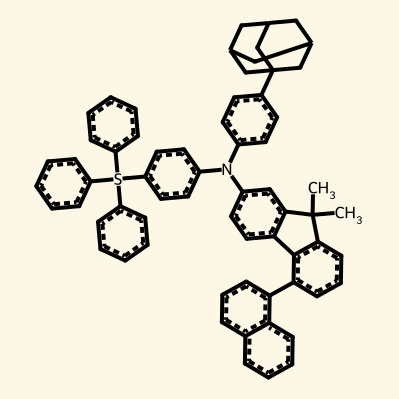 CC1(C)c2cc(N(c3ccc(C45CC6CC(CC(C6)C4)C5)cc3)c3ccc(S(c4ccccc4)(c4ccccc4)c4ccccc4)cc3)ccc2-c2c(-c3cccc4ccccc34)cccc21